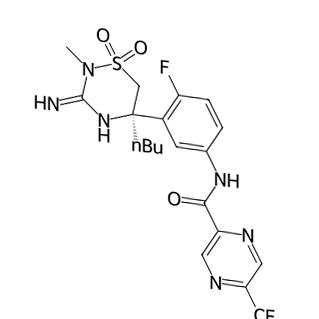 CCCC[C@@]1(c2cc(NC(=O)c3cnc(C(F)(F)F)cn3)ccc2F)CS(=O)(=O)N(C)C(=N)N1